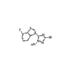 CCCn1nc(Br)nc1-c1csc2c(F)cccc12